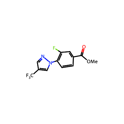 COC(=O)c1ccc(-n2cc(C(F)(F)F)cn2)c(F)c1